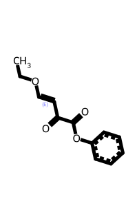 CCO/C=C/C(=O)C(=O)Oc1ccccc1